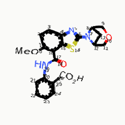 COc1ccc2nc(N3C4COCC3C4)sc2c1C(=O)Nc1ccccc1C(=O)O